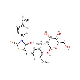 COc1cc(C=C2SC(=S)N(c3ccc(C(=O)O)cc3)C2=O)ccc1O[C@@H]1O[C@H](CO)[C@@H](O)[C@H](O)[C@H]1NC(C)=O